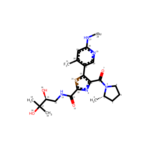 C[C@H]1CCCN1C(=O)c1nc(C(=O)NC[C@H](O)C(C)(C)O)sc1-c1cnc(NC(C)(C)C)cc1C(F)(F)F